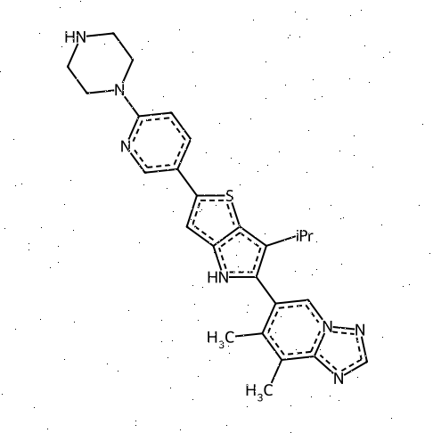 Cc1c(-c2[nH]c3cc(-c4ccc(N5CCNCC5)nc4)sc3c2C(C)C)cn2ncnc2c1C